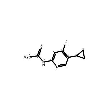 COC(=O)Nc1cc(Cl)c(C2CC2)cn1